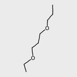 CCCOCCCOCC